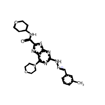 Cc1cccc(/C=N/Nc2nc(N3CCOCC3)c3nc(C(=O)NC4CCOCC4)sc3n2)c1